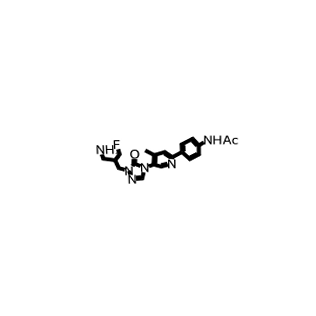 CC(=O)Nc1ccc(-c2cc(C)c(-n3cnn(CC(CN)CF)c3=O)cn2)cc1